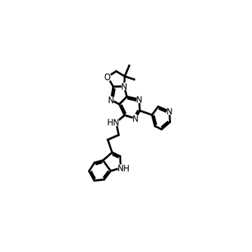 CC1(C)COc2nc3c(NCCc4c[nH]c5ccccc45)nc(-c4cccnc4)nc3n21